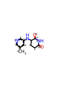 Cc1cncc(NC2CCC(=O)NC2=O)c1